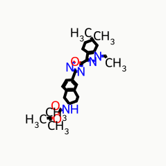 CCn1nc(-c2nc(-c3ccc4c(c3)CCC(NC(=O)OC(C)(C)C)C4)no2)c2c1CC(C)(C)CC2